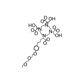 CCOCCOCCOc1ccc(CCCC(C(=O)OC)N2CCN(C(CO)C(=O)OC)CCN([C@H](CO)C(=O)OC)CCN([C@H](CO)C(=O)OC)CC2)cc1